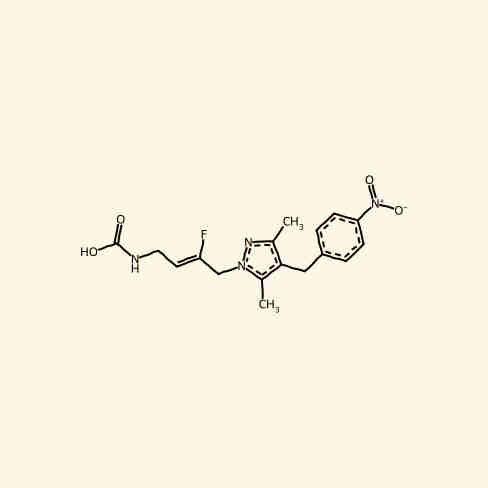 Cc1nn(C/C(F)=C/CNC(=O)O)c(C)c1Cc1ccc([N+](=O)[O-])cc1